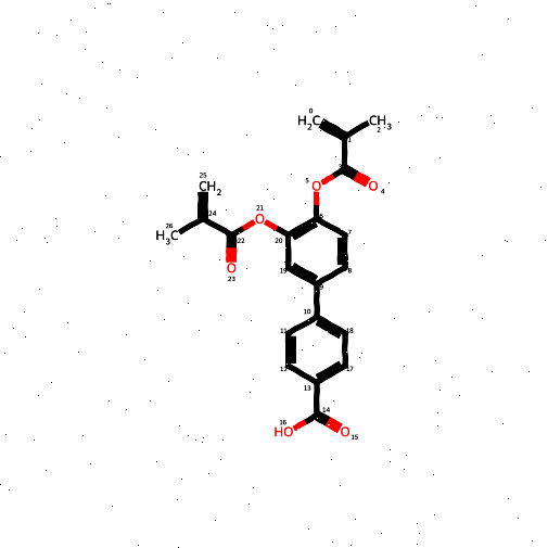 C=C(C)C(=O)Oc1ccc(-c2ccc(C(=O)O)cc2)cc1OC(=O)C(=C)C